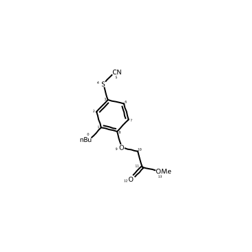 CCCCc1cc(SC#N)ccc1OCC(=O)OC